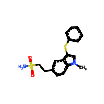 Cn1cc(Sc2ccccc2)c2cc(CCS(N)(=O)=O)ccc21